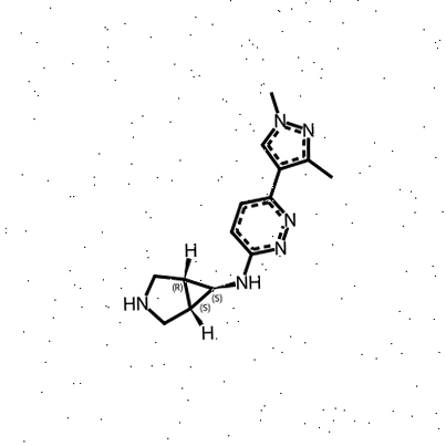 Cc1nn(C)cc1-c1ccc(N[C@H]2[C@@H]3CNC[C@@H]32)nn1